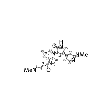 CNC/C=C/C(=O)N1CC[C@@H](N(CC2CC2)c2cc(-c3ccnc(NC)c3)c[nH]c2=O)C1